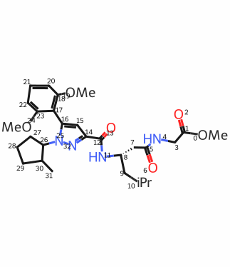 COC(=O)CNC(=O)C[C@H](CC(C)C)NC(=O)c1cc(-c2c(OC)cccc2OC)n(C2CCCC2C)n1